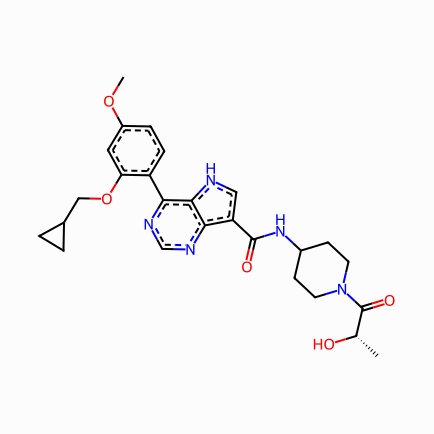 COc1ccc(-c2ncnc3c(C(=O)NC4CCN(C(=O)[C@H](C)O)CC4)c[nH]c23)c(OCC2CC2)c1